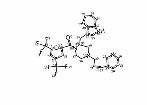 O=C(c1cc(C(F)(F)F)cc(C(F)(F)F)c1)N1CCN(C/C=C\c2cccnc2)C[C@H]1Cc1c[nH]c2ccccc12